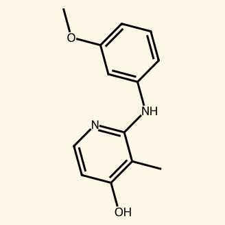 COc1cccc(Nc2nccc(O)c2C)c1